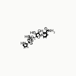 NC(=O)c1ccc[n+]([C@@H]2O[C@H](COP(=O)(O)OC(=O)[C@@H]3CCCN3)[C@@H](O)[C@H]2O)c1